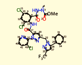 COC(=O)N(C)NC(=O)c1cc(Cl)cc(Cl)c1NC(=O)c1cc(Cn2nc(C(F)(F)F)cc2-c2ccccc2)nn1-c1ncccc1Cl